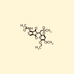 CCOc1nc(C(CS(C)(=O)=O)N2C(=O)c3csc(NC(C)=O)c3C2=O)ccc1OC